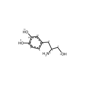 NC(CO)Cc1ccc(O)c(O)c1